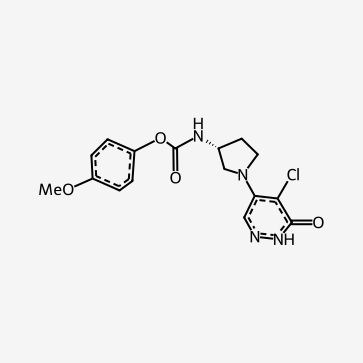 COc1ccc(OC(=O)N[C@@H]2CCN(c3cn[nH]c(=O)c3Cl)C2)cc1